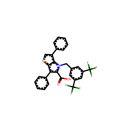 O=C(O)c1c(-c2ccccc2)c2scc(-c3ccccc3)c2n1Cc1cc(C(F)(F)F)cc(C(F)(F)F)c1